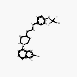 [O]c1nc2c(N3CCC(CCCc4ccc(OC(F)(F)F)cc4)CC3)cccc2s1